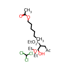 CCCCCCOC(C)=O.CCOC(=O)C(CO)CC(C)=O.CCOCC.ClC(Cl)Cl